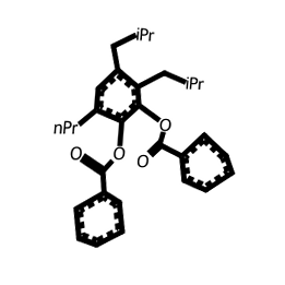 CCCc1cc(CC(C)C)c(CC(C)C)c(OC(=O)c2ccccc2)c1OC(=O)c1ccccc1